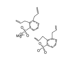 C=CCc1cccc(S(=O)(=O)[O-])c1CC=C.C=CCc1cccc(S(=O)(=O)[O-])c1CC=C.[Mg+2]